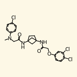 CN(CC(=O)NC12CCC(NC(=O)COc3ccc(Cl)c(Cl)c3)(C1)C2)c1ccc(Cl)cc1